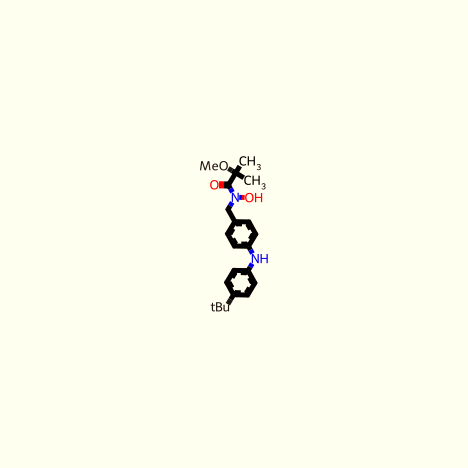 COC(C)(C)C(=O)N(O)Cc1ccc(Nc2ccc(C(C)(C)C)cc2)cc1